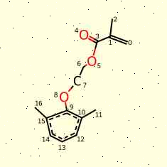 C=C(C)C(=O)OCCOc1c(C)cccc1C